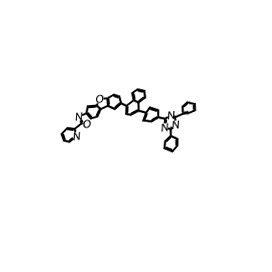 c1ccc(-c2nc(-c3ccccc3)nc(-c3ccc(-c4ccc(-c5ccc6oc7cc8nc(-c9ccccn9)oc8cc7c6c5)c5ccccc45)cc3)n2)cc1